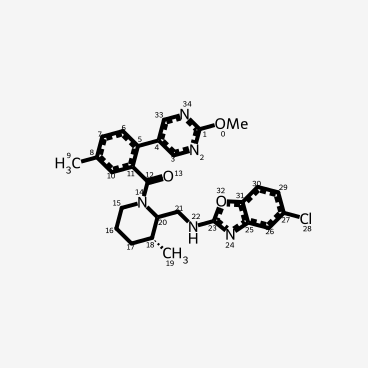 COc1ncc(-c2ccc(C)cc2C(=O)N2CCC[C@@H](C)C2CNc2nc3cc(Cl)ccc3o2)cn1